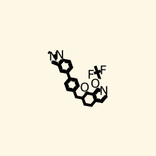 Cn1cc2cc(-c3ccc(CC4CCc5ccnc(OCC(C)(F)F)c5C4=O)cc3)ccc2n1